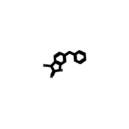 O=C1Nc2cc(Cc3ccccc3)ccc2C1Br